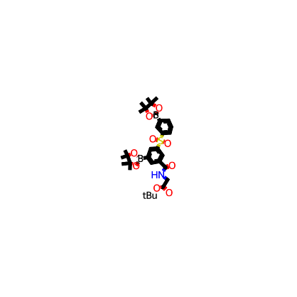 CC(C)(C)OC(=O)CNC(=O)c1cc(B2OC(C)(C)C(C)(C)O2)cc(S(=O)(=O)c2cccc(B3OC(C)(C)C(C)(C)O3)c2)c1